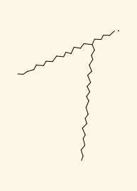 [CH2]CCCCC(CCCCCCCCCCCCCCC)CCCCCCCCCCCCCCCCCCCCCC